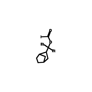 CCC(CC)(OC(=O)I)C1CC2CCC1C2